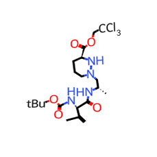 C=C(C)[C@H](NC(=O)OC(C)(C)C)C(=O)N[C@@H](C)CN1CCC[C@@H](C(=O)OCC(Cl)(Cl)Cl)N1